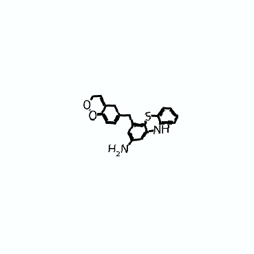 Nc1cc(CC2=CC=C3OOCC=C3C2)c2c(c1)Nc1ccccc1S2